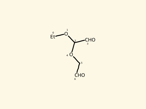 CCOC(C=O)OCC=O